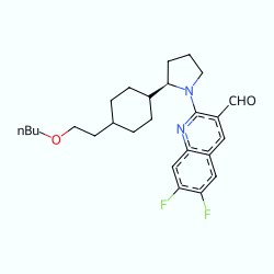 CCCCOCCC1CCC([C@H]2CCCN2c2nc3cc(F)c(F)cc3cc2C=O)CC1